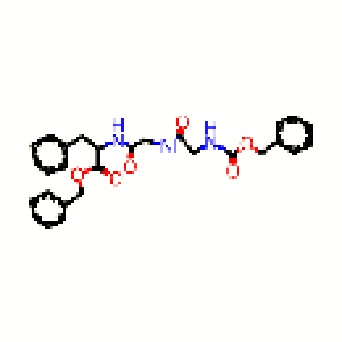 O=C(CNC(=O)OCc1ccccc1)NCC(=O)NC(Cc1ccccc1)C(=O)OCc1ccccc1